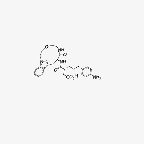 Nc1ccc(CCC[C@H](CC(=O)O)C(=O)N[C@H]2Cc3cn(c4ccccc34)CCOCCNC2=O)cc1